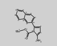 CC(C)(C)OC(=O)n1c(N)ccc1-c1ccc2cnccc2c1